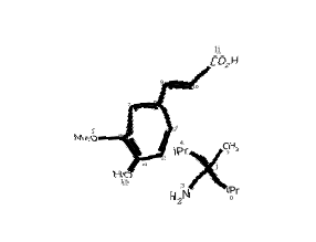 CC(C)C(C)(N)C(C)C.COc1cc(C=CC(=O)O)ccc1O